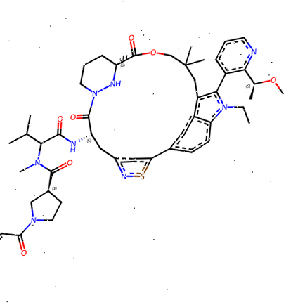 C=CC(=O)N1CC[C@H](C(=O)N(C)C(C(=O)N[C@H]2Cc3cc(sn3)-c3ccc4c(c3)c(c(-c3cccnc3[C@H](C)OC)n4CC)CC(C)(C)COC(=O)[C@@H]3CCCN(N3)C2=O)C(C)C)C1